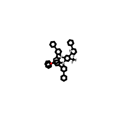 FC(F)(F)c1cc(-n2c3ccc(-c4ccccc4)cc3c3cc(-c4ccccc4)ccc32)c(-n2c3c(c4cc(-c5ccccc5)ccc42)CC(c2ccccc2)C=C3)cc1-c1cccc(-c2ccccc2)n1